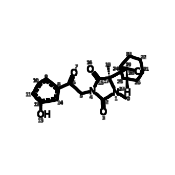 CN1C(=O)N(CC(=O)c2cccc(O)c2)C(=O)[C@@]1(C)[C@H]1CC2CCC1CC2